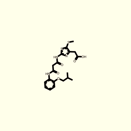 CSc1sc(NC(=O)CC(=O)Nc2ccccc2OCC(C)C)nc1CC(=O)O